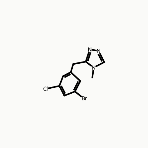 Cn1cnnc1Cc1cc(Cl)cc(Br)c1